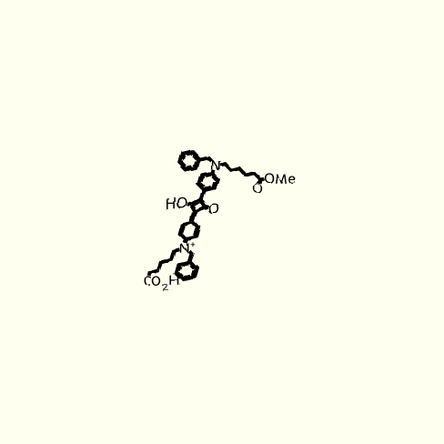 COC(=O)CCCCCN(Cc1ccccc1)c1ccc(C2=C(O)C(=C3C=CC(=[N+](CCCCCC(=O)O)Cc4ccccc4)C=C3)C2=O)cc1